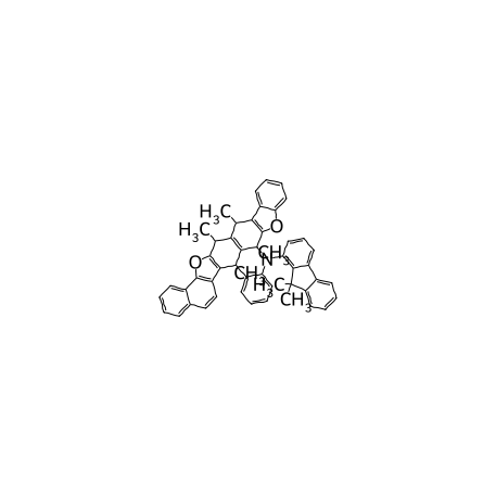 CC1C2=C3C(C)(c4ccccc4N(c4cccc5c4C(C)(C)c4ccccc4-5)C3(C)c3oc4ccccc4c3C2C)c2c1oc1c2ccc2ccccc21